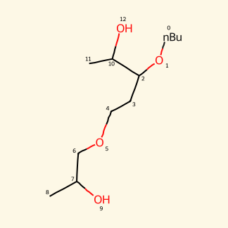 CCCCOC(CCOCC(C)O)C(C)O